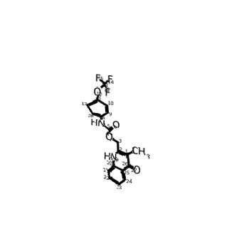 Cc1c(COC(=O)Nc2ccc(OC(F)(F)F)cc2)[nH]c2ccccc2c1=O